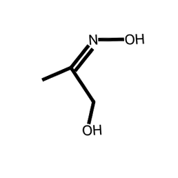 C/C(CO)=N/O